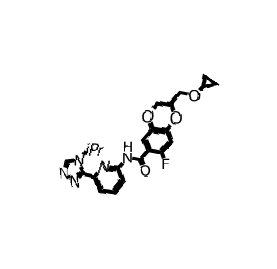 CC(C)n1cnnc1-c1cccc(NC(=O)c2cc3c(cc2F)OC(COC2CC2)CO3)n1